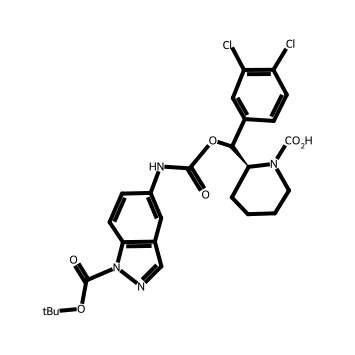 CC(C)(C)OC(=O)n1ncc2cc(NC(=O)OC(c3ccc(Cl)c(Cl)c3)[C@@H]3CCCCN3C(=O)O)ccc21